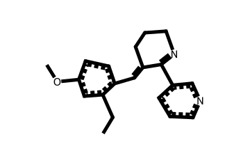 CCc1cc(OC)ccc1/C=C1\CCCN=C1c1cccnc1